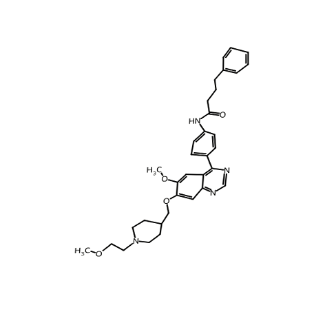 COCCN1CCC(COc2cc3ncnc(-c4ccc(NC(=O)CCCc5ccccc5)cc4)c3cc2OC)CC1